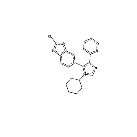 Clc1nc2ccc(-c3c(-c4ccccc4)ncn3C3CCCCC3)cc2s1